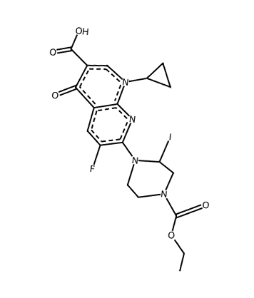 CCOC(=O)N1CCN(c2nc3c(cc2F)c(=O)c(C(=O)O)cn3C2CC2)C(I)C1